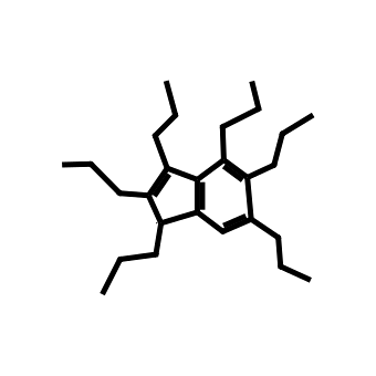 CCC[C]1C(CCC)=C(CCC)c2c1cc(CCC)c(CCC)c2CCC